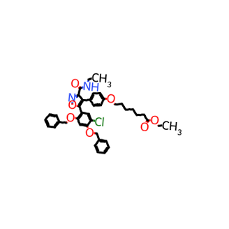 CCNC(=O)c1noc(-c2cc(Cl)c(OCc3ccccc3)cc2OCc2ccccc2)c1-c1ccc(OCCCCCCC(=O)OCC)cc1